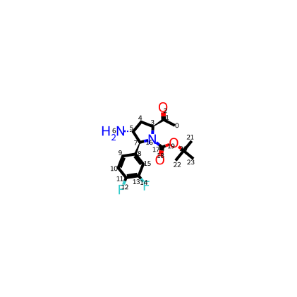 CC(=O)[C@@H]1C[C@@H](N)[C@H](c2ccc(F)c(F)c2)N1C(=O)OC(C)(C)C